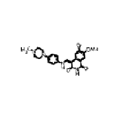 COc1cc2c(cc1Br)C(=CNc1ccc(N3CCN(C)CC3)cc1)C(=O)NC2=O